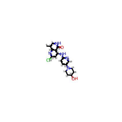 Cc1c[nH]c(=O)c2c(Nc3ccc(N4CCC(O)CC4)cn3)cc(Cl)nc12